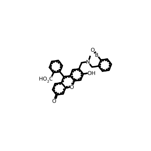 CN(Cc1cc2c(-c3ccccc3C(=O)O)c3ccc(=O)cc-3oc2cc1O)Cc1ccccc1B=O